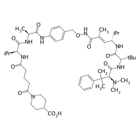 C/C(=C\[C@@H](NC(=O)C(NC(=O)[C@@H](N(C)C)C(C)(C)c1ccccc1)C(C)(C)C)C(C)C)C(=O)NOCc1ccc(NC(=O)[C@H](C)NC(=O)[C@@H](NC(=O)CCCC(=O)N2CCC(C(=O)O)CC2)C(C)C)cc1